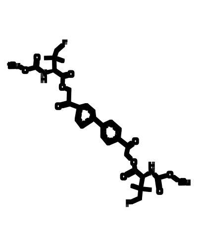 CC(C)(C)OC(=O)N[C@H](C(=O)OCC(=O)c1ccc(-c2ccc(C(=O)COC(=O)[C@@H](NC(=O)OC(C)(C)C)C(C)(C)CF)cc2)cc1)C(C)(C)CF